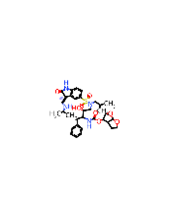 CC(C)CN(CC(O)C(Cc1ccccc1)NC(=O)OC1COC2OCCC12)S(=O)(=O)c1ccc2c(c1)/C(=C\NC(C)C)C(=O)N2